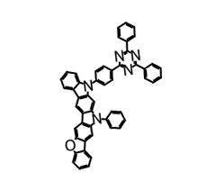 c1ccc(-c2nc(-c3ccccc3)nc(-c3ccc(-n4c5ccccc5c5cc6c7cc8oc9ccccc9c8cc7n(-c7ccccc7)c6cc54)cc3)n2)cc1